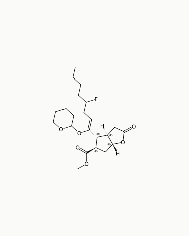 CCCCC(F)CC=C(OC1CCCCO1)[C@@H]1[C@H]2CC(=O)O[C@@H]2C[C@H]1C(=O)OC